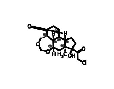 C[C@]12C[C@@H]3OCOC[C@]45CCC(=O)C=C4CC[C@H]([C@H]35)[C@@H]1CC[C@]2(O)C(=O)CCl